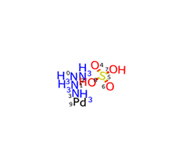 N.N.N.N.O=S(=O)(O)O.[Pd]